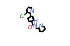 O=C(NCc1ccccn1)c1ccc(-c2ncccc2Cl)cc1